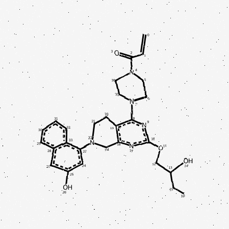 C=CC(=O)N1CCN(c2nc(OCC(O)CC)nc3c2CCN(c2cc(O)cc4ccccc24)C3)CC1